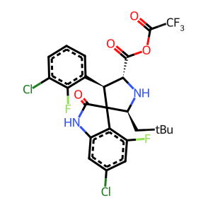 CC(C)(C)C[C@@H]1N[C@@H](C(=O)OC(=O)C(F)(F)F)[C@H](c2cccc(Cl)c2F)C12C(=O)Nc1cc(Cl)cc(F)c12